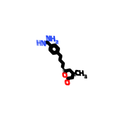 C[C@@H]1CC(=O)O[C@H](CCCCc2ccc(C(=N)N)cc2)C1